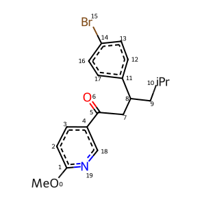 COc1ccc(C(=O)CC(CC(C)C)c2ccc(Br)cc2)cn1